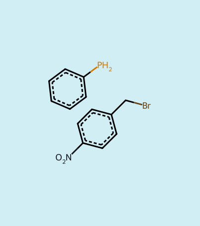 O=[N+]([O-])c1ccc(CBr)cc1.Pc1ccccc1